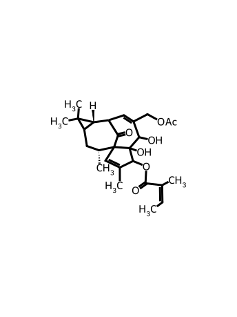 C/C=C(/C)C(=O)OC1C(C)=CC23C(=O)C(C=C(COC(C)=O)C(O)C12O)[C@@H]1C(C[C@H]3C)C1(C)C